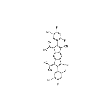 N#CC(C#N)=C1C(c2cc(C#N)c(F)cc2F)=C(C#N)c2cc3c(cc21)C(=C(C#N)C#N)C(c1cc(C#N)c(F)cc1F)=C3C#N